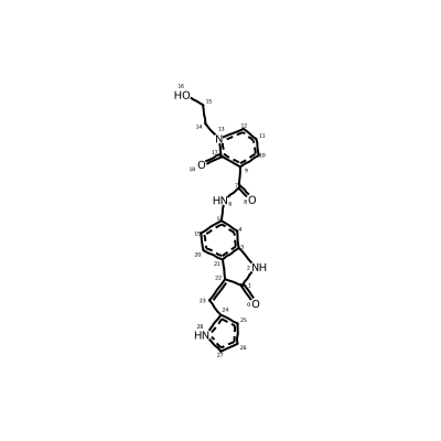 O=C1Nc2cc(NC(=O)c3cccn(CCO)c3=O)ccc2C1=Cc1ccc[nH]1